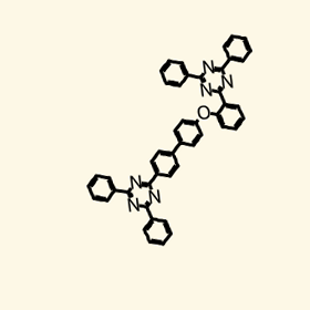 c1ccc(-c2nc(-c3ccccc3)nc(-c3ccc(-c4ccc(Oc5ccccc5-c5nc(-c6ccccc6)nc(-c6ccccc6)n5)cc4)cc3)n2)cc1